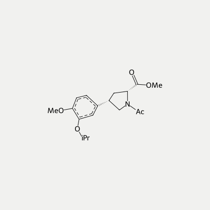 COC(=O)[C@H]1C[C@@H](c2ccc(OC)c(OC(C)C)c2)CN1C(C)=O